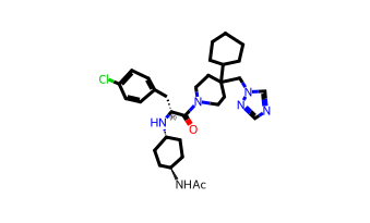 CC(=O)N[C@H]1CC[C@H](N[C@H](Cc2ccc(Cl)cc2)C(=O)N2CCC(Cn3cncn3)(C3CCCCC3)CC2)CC1